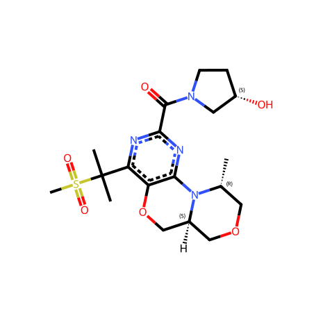 C[C@@H]1COC[C@H]2COc3c(nc(C(=O)N4CC[C@H](O)C4)nc3C(C)(C)S(C)(=O)=O)N21